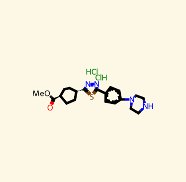 COC(=O)[C@H]1CC[C@H](c2nnc(-c3ccc(N4CCNCC4)cc3)s2)CC1.Cl.Cl